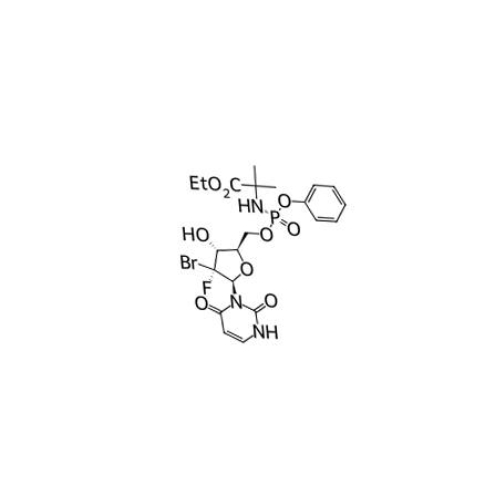 CCOC(=O)C(C)(C)N[P@](=O)(OC[C@H]1O[C@@H](n2c(=O)cc[nH]c2=O)[C@@](F)(Br)[C@@H]1O)Oc1ccccc1